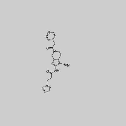 N#Cc1c(NC(=O)CCc2ccco2)sc2c1CCN(C(=O)Cc1ccncc1)C2